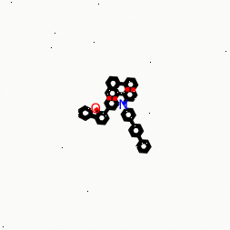 c1ccc(-c2ccc(-c3ccc(N(c4cccc(-c5cccc6c5oc5ccccc56)c4)c4ccccc4-c4cccc5cccc(-c6ccccc6)c45)cc3)cc2)cc1